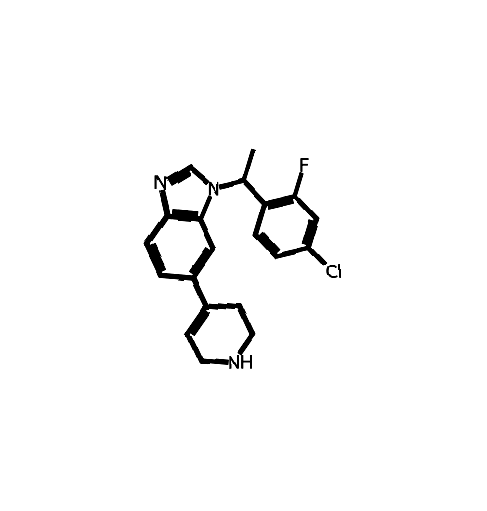 CC(c1ccc(Cl)cc1F)n1cnc2ccc(C3=CCNCC3)cc21